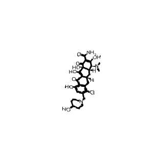 CN(C)[C@@H]1C(O)=C(C(N)=O)C(=O)[C@@]2(O)C(O)=C3C(=O)c4c(O)cc(CN5CCC(O)CC5)c(Cl)c4C[C@H]3C[C@@H]12